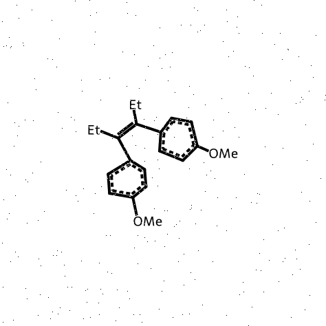 CCC(=C(CC)c1ccc(OC)cc1)c1ccc(OC)cc1